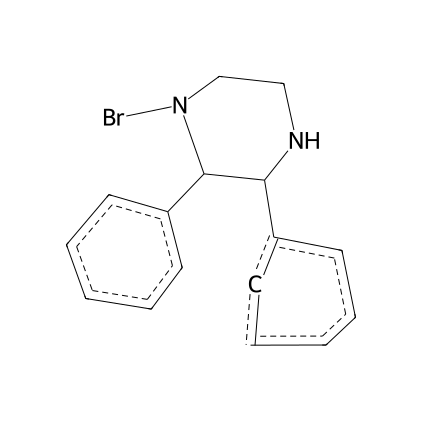 BrN1CCNC(c2ccccc2)C1c1ccccc1